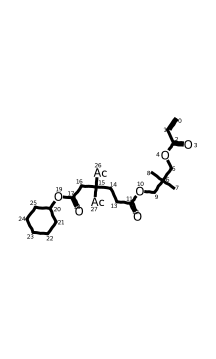 C=CC(=O)OCC(C)(C)COC(=O)CCC(CC(=O)OC1CCCCC1)(C(C)=O)C(C)=O